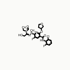 CCN(C=O)/C(CO)=N\N(C)c1nc(OC2CCOC2)c(C(=O)Nc2c(F)cccc2Cl)cc1F